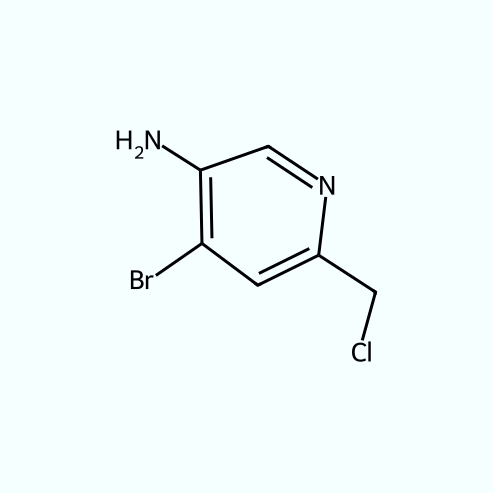 Nc1cnc(CCl)cc1Br